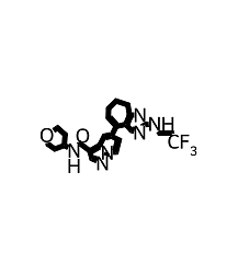 O=C(NC1CCOCC1)c1cnn2ccc(C3=CCCCc4nc(NCCC(F)(F)F)ncc43)cc12